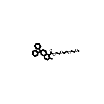 COCCOCCOCCOC(=O)c1c(C)ccc2c1C=CC(c1ccccc1)(c1ccccc1)C2